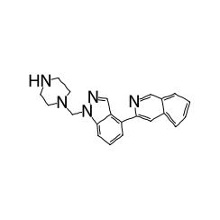 c1ccc2cc(-c3cccc4c3cnn4CN3CCNCC3)ncc2c1